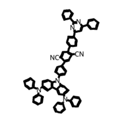 N#Cc1cc(-c2ccc(-n3c4ccc(N(c5ccccc5)c5ccccc5)cc4c4cc(N(c5ccccc5)c5ccccc5)ccc43)cc2)c(C#N)cc1-c1ccc(-c2cc(-c3ccccc3)nc(-c3ccccc3)n2)cc1